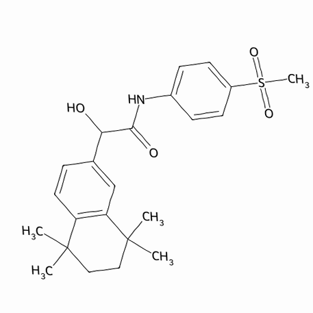 CC1(C)CCC(C)(C)c2cc(C(O)C(=O)Nc3ccc(S(C)(=O)=O)cc3)ccc21